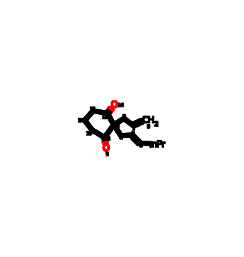 C=CCC1(CC=CCCC)C(=O)CCCC1=O